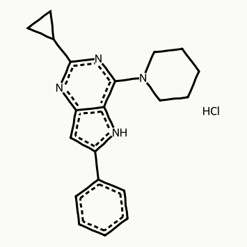 Cl.c1ccc(-c2cc3nc(C4CC4)nc(N4CCCCC4)c3[nH]2)cc1